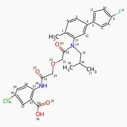 Cc1ccc(-c2ccc(F)cc2)cc1N(CC(C)C)C(=O)COCC(=O)Nc1ccc(Cl)cc1C(=O)O